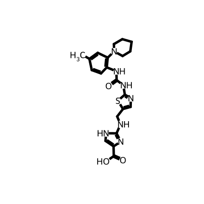 Cc1ccc(NC(=O)Nc2ncc(CNc3nc(C(=O)O)c[nH]3)s2)c(N2CCCCC2)c1